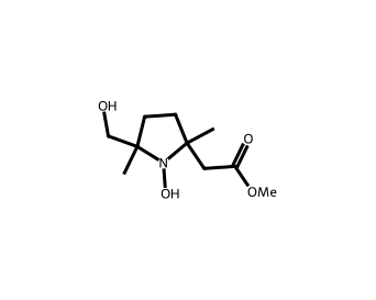 COC(=O)CC1(C)CCC(C)(CO)N1O